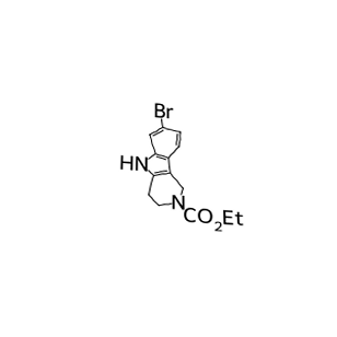 CCOC(=O)N1CCc2[nH]c3cc(Br)ccc3c2C1